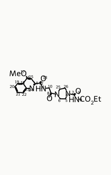 CCOC(=O)NC(=O)N1CCN(C(=O)CNC(=O)c2cc(OC)c3ccccc3n2)CC1